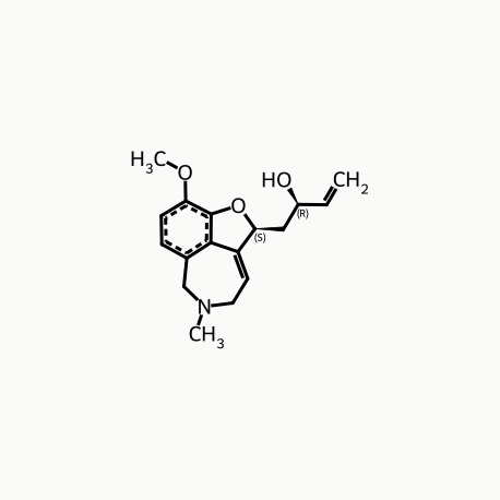 C=C[C@H](O)C[C@@H]1Oc2c(OC)ccc3c2C1=CCN(C)C3